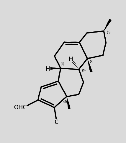 C[C@H]1CC[C@@]2(C)C(=CC[C@H]3C4=CC(C=O)=C(Cl)[C@@]4(C)CC[C@@H]32)C1